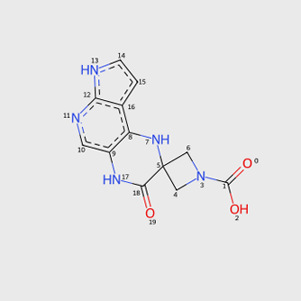 O=C(O)N1CC2(C1)Nc1c(cnc3[nH]ccc13)NC2=O